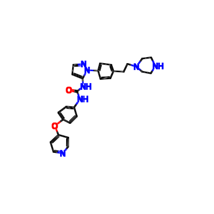 O=C(Nc1ccc(Oc2ccncc2)cc1)Nc1ccnn1-c1ccc(CCN2CCNCC2)cc1